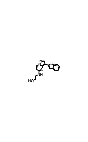 OCCNc1ccn2ncc(-c3cc4ccccc4o3)c2n1